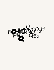 Cc1ccc(Nc2c(-c3ccc(F)cc3)nc3n2CCN(C(=O)[C@H](CC(=O)O)NC(=O)OC(C)(C)C)C3)cc1